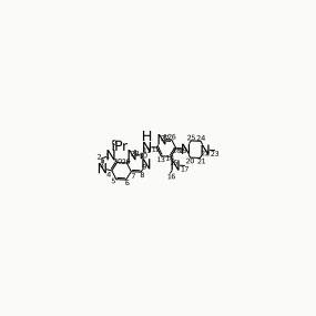 CC(C)n1cnc2ccc3cnc(Nc4cc(N(C)C)c(N5CCN(C)CC5)cn4)nc3c21